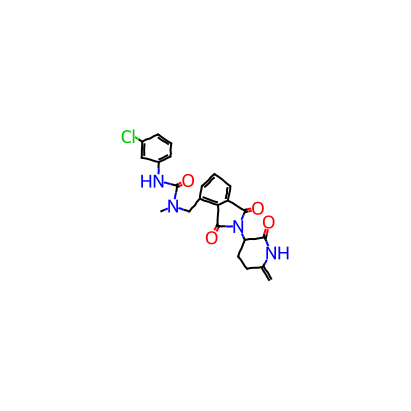 C=C1CCC(N2C(=O)c3cccc(CN(C)C(=O)Nc4cccc(Cl)c4)c3C2=O)C(=O)N1